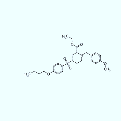 CCCCOc1ccc(S(=O)(=O)C2CCN(Cc3ccc(OC)cc3)C(C(=O)OCC)C2)cc1